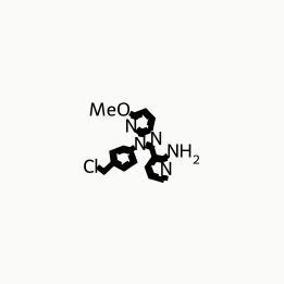 COc1ccc2nc(-c3cccnc3N)n(-c3ccc(CCl)cc3)c2n1